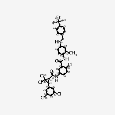 CCC(F)(F)c1ccc(CNc2ccc(NC(=O)c3cc(NC(=O)C4C(c5cc(Cl)cc(Cl)c5)C4(Cl)Cl)ccc3Cl)c(C)c2)cc1